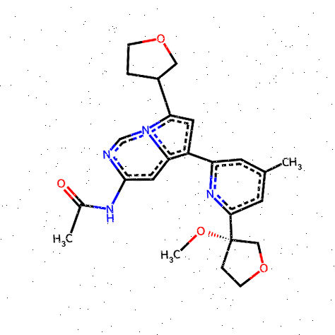 CO[C@@]1(c2cc(C)cc(-c3cc(C4CCOC4)n4cnc(NC(C)=O)cc34)n2)CCOC1